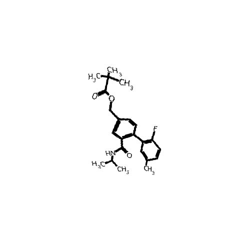 Cc1ccc(F)c(-c2ccc(COC(=O)C(C)(C)C)cc2C(=O)NC(C)C)c1